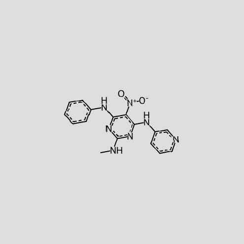 CNc1nc(Nc2ccccc2)c([N+](=O)[O-])c(Nc2cccnc2)n1